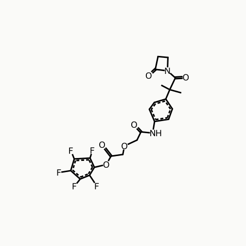 CC(C)(C(=O)N1CCC1=O)c1ccc(NC(=O)COCC(=O)Oc2c(F)c(F)c(F)c(F)c2F)cc1